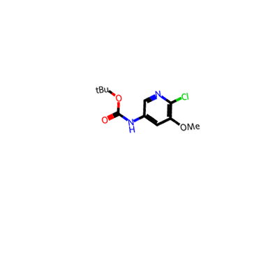 COc1cc(NC(=O)OC(C)(C)C)cnc1Cl